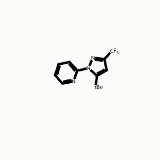 CC(C)(C)c1cc(C(F)(F)F)nn1-c1ccccn1